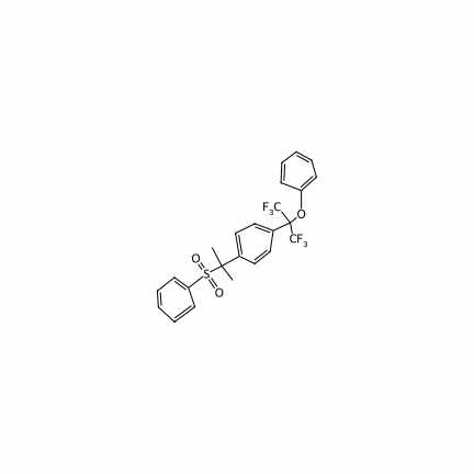 CC(C)(c1ccc(C(Oc2ccccc2)(C(F)(F)F)C(F)(F)F)cc1)S(=O)(=O)c1ccccc1